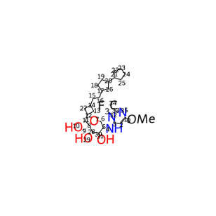 COc1cc(N[C@H]2CO[C@](CO)(CC3CC(CCC4CCC(C5CCCC5)C4)C3)[C@H](O)[C@@H]2O)nc(C(F)(F)F)n1